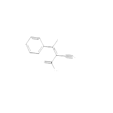 N#CC(C(=O)O)=C(I)c1ccccc1